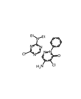 CCN(CC)c1ncnc(Cl)n1.Nc1cnn(-c2ccccc2)c(=O)c1Cl